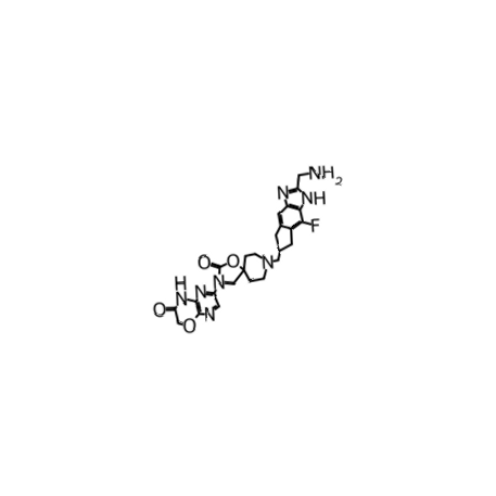 NCc1nc2cc3c(c(F)c2[nH]1)CC(CN1CCC2(CC1)CN(c1cnc4c(n1)NC(=O)CO4)C(=O)O2)C3